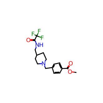 COC(=O)c1ccc(CN2CCC(CNC(=O)C(F)(F)F)CC2)cc1